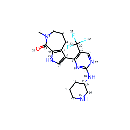 CN1CCCc2c(-c3nc(N[C@H]4CCCNC4)ncc3C(F)(F)F)c[nH]c2C1=O